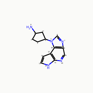 NC1CCC(n2cnc3cnc4[nH]ccc4c32)C1